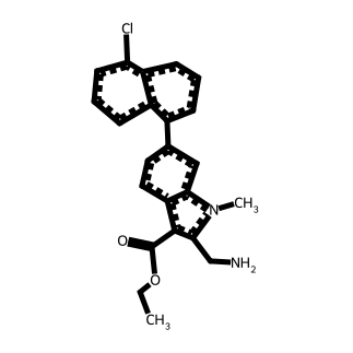 CCOC(=O)c1c(CN)n(C)c2cc(-c3cccc4c(Cl)cccc34)ccc12